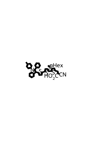 CCCCCC[Si]1(C)c2cc(C=C(C#N)C(=O)O)sc2-c2sc(-c3ccc(-c4c(-c5ccccc5)n(-c5ccc(C)cc5)c5ccccc45)s3)cc21